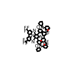 N#Cc1c(-c2ccc3c(c2)Oc2ccccc2N3c2ccccc2)c(-n2c3ccc(C(F)(F)F)cc3c3cc(C(F)(F)F)ccc32)c(-c2ccc3c(c2)Oc2ccccc2N3c2ccccc2)c(C#N)c1-n1c2ccc(C(F)(F)F)cc2c2cc(C(F)(F)F)ccc21